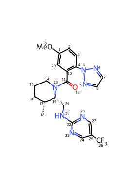 COc1ccc(-n2nccn2)c(C(=O)N2CCC[C@@H](C)[C@H]2CNc2ncc(C(F)(F)F)cn2)c1